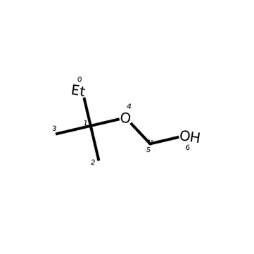 CCC(C)(C)O[C]O